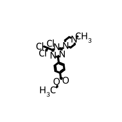 CCOC(=O)c1ccc(-c2nc(N3CCN(C)CC3)nc(C(Cl)(Cl)Cl)n2)cc1